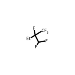 CCC(F)(C(F)F)C(F)(F)F